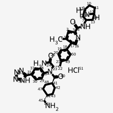 Cc1cc(C(=O)NC2C[C@H]3CC[C@@H](C2)N3)ncc1-c1ccc(C[C@@H](C(N)=O)N(c2ccc(-c3nnn[nH]3)cc2)C(=O)[C@H]2CC[C@H](CN)CC2)cc1.Cl